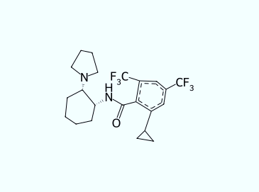 O=C(N[C@@H]1CCCC[C@@H]1N1CCCC1)c1c(C2CC2)cc(C(F)(F)F)cc1C(F)(F)F